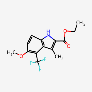 CCOC(=O)c1[nH]c2ccc(OC)c(C(F)(F)F)c2c1C